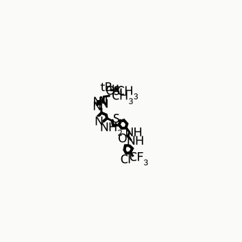 CC(C)(C)[Si](C)(C)OCCn1nnc(-c2cnc(N)c(-c3cc4cc(NC(=O)Nc5ccc(Cl)c(C(F)(F)F)c5)ccc4s3)c2)n1